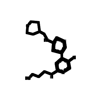 OCCCNc1cc(-c2cncc(NCC3CCOCC3)c2)c(Cl)cn1